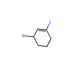 CCC1C=C(I)CCC1